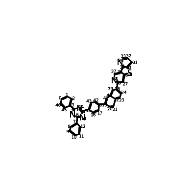 c1ccc(-c2nc(-c3ccccc3)nc(-c3ccc(-c4ccc5ccc(-c6cc7sc8cccnc8c7cn6)cc5c4)cc3)n2)cc1